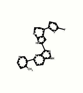 Cc1ccncc1-c1ccc2[nH]nc(-c3cc4c(-c5ccc(F)s5)ccnc4[nH]3)c2n1